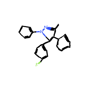 Cc1nn(-c2ccccc2)c(-c2ccc(F)cc2)c1-c1ccccc1